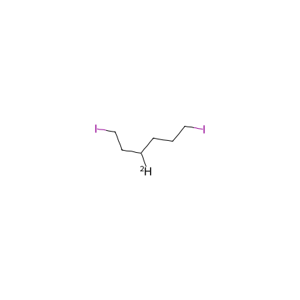 [2H]C(CCI)CCCI